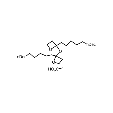 CC(=O)O.CCCCCCCCCCCCCCCC1(OC2(CCCCCCCCCCCCCCC)CCO2)CCO1